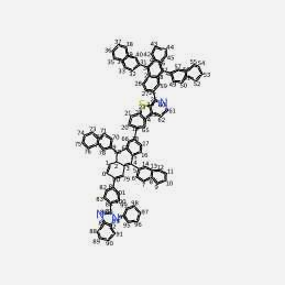 C1=CC2C(=C(c3ccc4ccccc4c3)c3ccc(-c4ccc5sc6c(-c7ccc8c(-c9ccc%10ccccc%10c9)c9ccccc9c(-c9ccc%10ccccc%10c9)c8c7)nccc6c5c4)cc3C2c2ccc3ccccc3c2)C=C1c1ccc(-c2nc3ccccc3n2-c2ccccc2)cc1